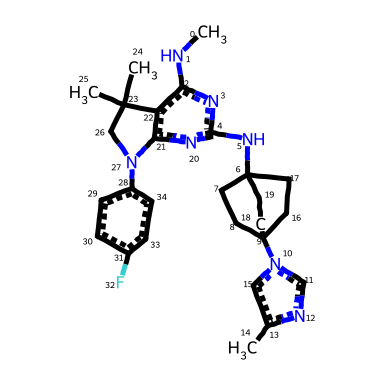 CNc1nc(NC23CCC(n4cnc(C)c4)(CC2)CC3)nc2c1C(C)(C)CN2c1ccc(F)cc1